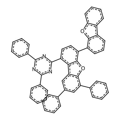 c1ccc(-c2cc(-c3ccccc3)c3oc4c(-c5cccc6c5oc5ccccc56)ccc(-c5nc(-c6ccccc6)nc(-c6ccccc6)n5)c4c3c2)cc1